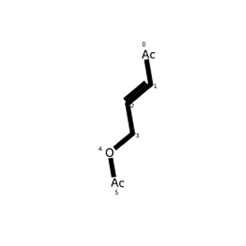 CC(=O)C=CCOC(C)=O